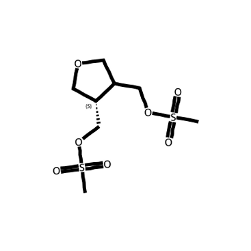 CS(=O)(=O)OCC1COC[C@H]1COS(C)(=O)=O